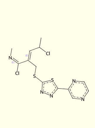 C/N=C(Cl)\C(=C\C(C)Cl)CSc1nnc(-c2cnccn2)s1